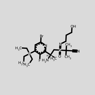 CC[Si](CC)(CC)c1cc(Br)nc([C@@](C)(N)CS(=O)(=NCCCO)C(C)(C)C#N)c1F